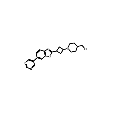 OCC1CCN(C2CC(c3nc4ccc(-c5cncnc5)cc4s3)C2)CC1